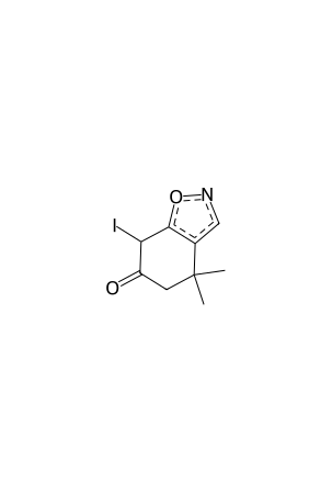 CC1(C)CC(=O)C(I)c2oncc21